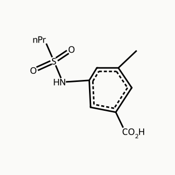 CCCS(=O)(=O)Nc1cc(C)cc(C(=O)O)c1